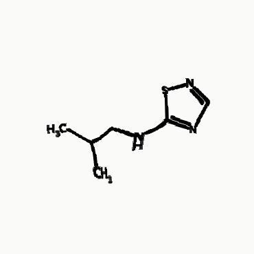 CC(C)CNc1ncns1